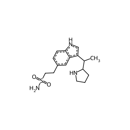 CC(c1c[nH]c2ccc(CCS(N)(=O)=O)cc12)C1CCCN1